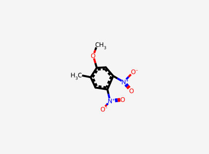 COc1cc([N+](=O)[O-])c([N+](=O)[O-])cc1C